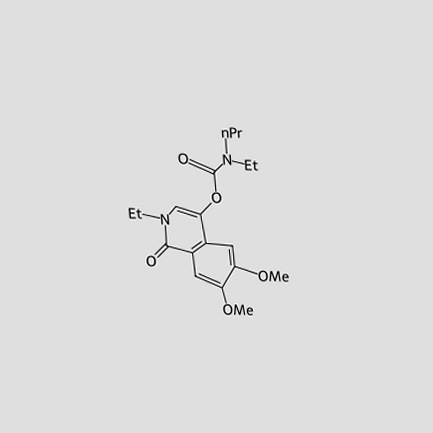 CCCN(CC)C(=O)Oc1cn(CC)c(=O)c2cc(OC)c(OC)cc12